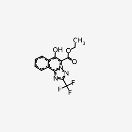 CCOC(=O)c1c(O)c2ccccc2c2nc(C(F)(F)F)nn12